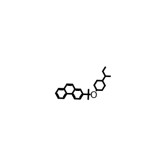 CCC(C)C1CCC(OC(C)(C)c2ccc3c(ccc4ccccc43)c2)CC1